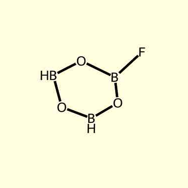 FB1OBOBO1